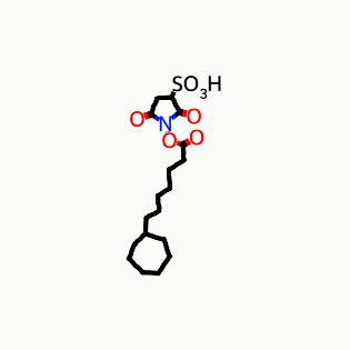 O=C(CCCCCCC1CCCCCC1)ON1C(=O)CC(S(=O)(=O)O)C1=O